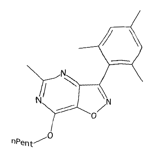 CCCCCOc1nc(C)nc2c(-c3c(C)cc(C)cc3C)noc12